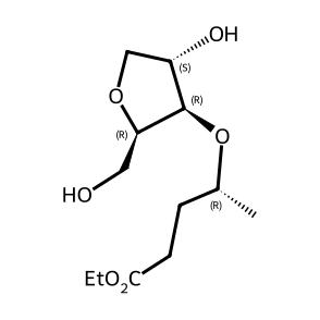 CCOC(=O)CC[C@@H](C)O[C@@H]1[C@@H](O)CO[C@@H]1CO